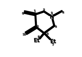 C=C1CN(C)CC(CC)(CC)C1=C